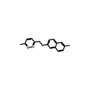 Cc1ccc2cc(CCc3ccc(C)nn3)ccc2c1